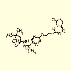 C/C(=N/NC(=O)CC(C)(C)S)c1cnc(OCCCC(=O)ON2C(=O)CCC2=O)cn1